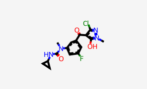 CN(C(=O)NC1CC1)c1cc(F)cc(C(=O)c2c(Cl)nn(C)c2O)c1